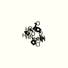 CC(=O)c1cn(CC(=O)N2[C@@H]3C[C@@H]3C[C@H]2C(=O)NCc2cccc(Cl)c2F)c2cc(OCc3nnn[nH]3)ccc12